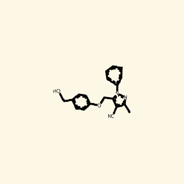 Cc1nn(-c2ccccc2)c(COc2ccc(CO)cc2)c1C#N